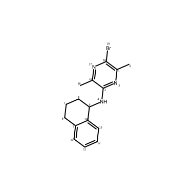 Cc1nc(NC2CCCc3ccccc32)c(C)nc1Br